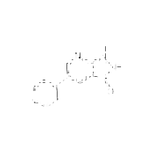 O=c1[nH][nH]c2ncc(-c3ccncc3)cc12